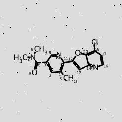 Cc1cc(C(=O)N(C)C)cnc1-c1cc2nccc(Cl)c2o1